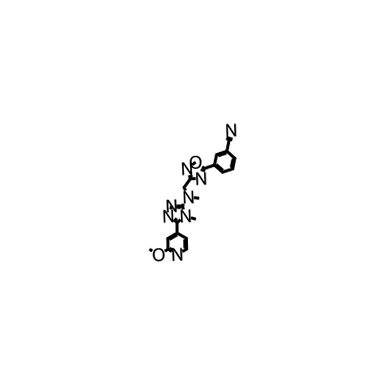 COc1cc(-c2nnc(N(C)Cc3noc(-c4cccc(C#N)c4)n3)n2C)ccn1